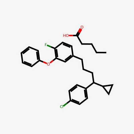 CCCCC(=O)O.Fc1ccc(CCCC(c2ccc(Cl)cc2)C2CC2)cc1Oc1ccccc1